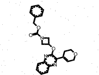 O=C(OCc1ccccc1)N1CC(Oc2nc3ccccc3nc2C2=CCOCC2)C1